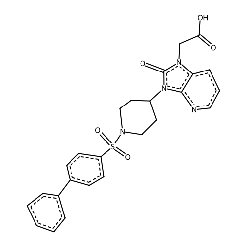 O=C(O)Cn1c(=O)n(C2CCN(S(=O)(=O)c3ccc(-c4ccccc4)cc3)CC2)c2ncccc21